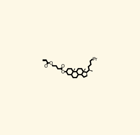 C=CC(=O)OCCCC(=O)OC1CC[C@@]2(C)C(CCC3C2CC[C@@]2(C)C3CC[C@@H]2[C@H](C)CCCC(C)C)C1